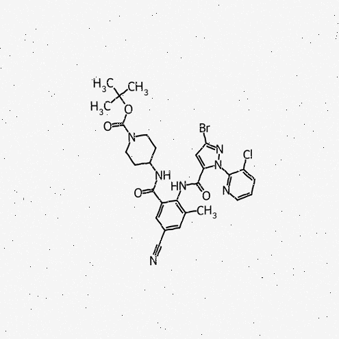 Cc1cc(C#N)cc(C(=O)NC2CCN(C(=O)OC(C)(C)C)CC2)c1NC(=O)c1cc(Br)nn1-c1ncccc1Cl